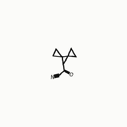 N#CC(=O)C1C2(CC2)C12CC2